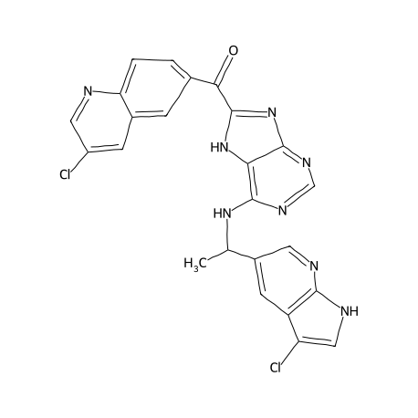 CC(Nc1ncnc2nc(C(=O)c3ccc4ncc(Cl)cc4c3)[nH]c12)c1cnc2[nH]cc(Cl)c2c1